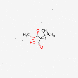 COC(=O)C1(C(=O)O)CC1(C)C